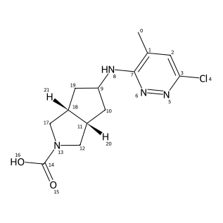 Cc1cc(Cl)nnc1NC1C[C@@H]2CN(C(=O)O)C[C@@H]2C1